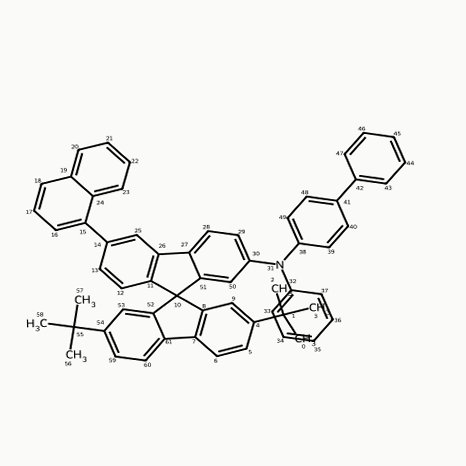 CC(C)(C)c1ccc2c(c1)C1(c3ccc(-c4cccc5ccccc45)cc3-c3ccc(N(c4ccccc4)c4ccc(-c5ccccc5)cc4)cc31)c1cc(C(C)(C)C)ccc1-2